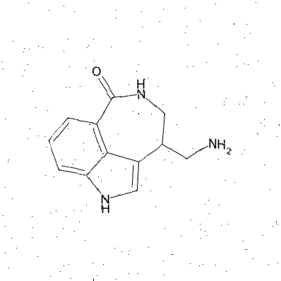 NCC1CNC(=O)c2cccc3[nH]cc1c23